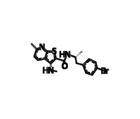 CNc1c(C(=O)N[C@H](C)Cc2ccc(Br)cc2)sc2nc(C)ccc12